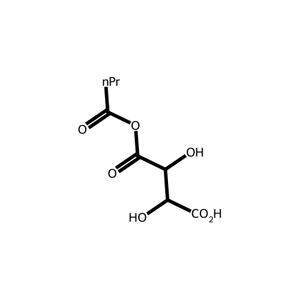 CCCC(=O)OC(=O)C(O)C(O)C(=O)O